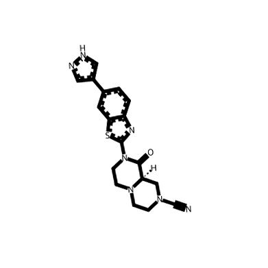 N#CN1CCN2CCN(c3nc4ccc(-c5cn[nH]c5)cc4s3)C(=O)[C@H]2C1